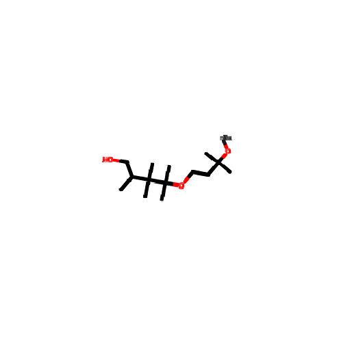 CCCCOC(C)(C)CCOC(C)(C)C(C)(C)C(C)CO